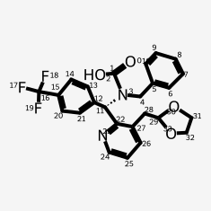 O=C(O)N(Cc1ccccc1)[C@@H](c1ccc(C(F)(F)F)cc1)c1ncccc1CC1OCCO1